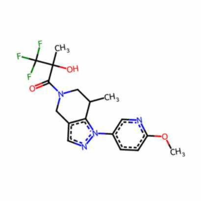 COc1ccc(-n2ncc3c2C(C)CN(C(=O)C(C)(O)C(F)(F)F)C3)cn1